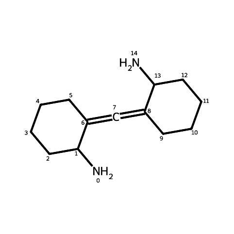 NC1CCCCC1=C=C1CCCCC1N